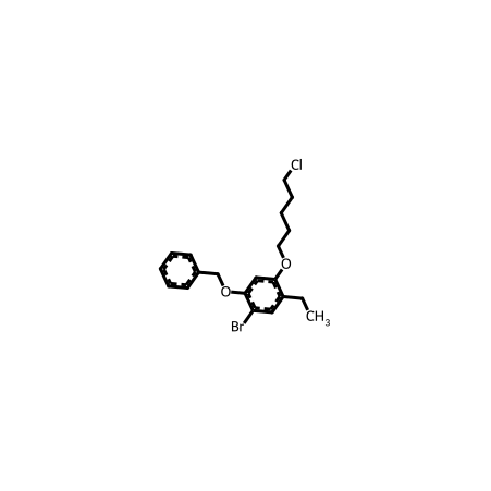 CCc1cc(Br)c(OCc2ccccc2)cc1OCCCCCCl